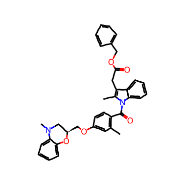 Cc1cc(OC[C@@H]2CN(C)c3ccccc3O2)ccc1C(=O)n1c(C)c(CC(=O)OCc2ccccc2)c2ccccc21